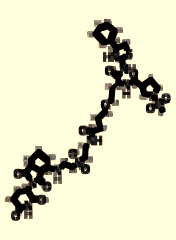 CS(=O)(=O)N1CCC(C(=O)N[C@@H](CCOCCCC(=O)NCCS(=O)(=O)CCNc2cccc3c2C(=O)N(C2CCC(=O)NC2=O)C3=O)C(=O)NC2NC(c3ccccc3)CS2)C1